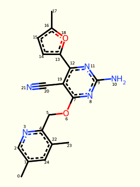 Cc1cnc(COc2nc(N)nc(-c3ccc(C)o3)c2C#N)c(C)c1